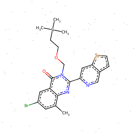 Cc1cc(Br)cc2c(=O)n(COCC[Si](C)(C)C)c(-c3cc4sccc4cn3)nc12